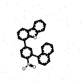 O=[N+]([O-])c1ccc(-c2cccc3c2oc2ccccc23)cc1-c1cccc2ccccc12